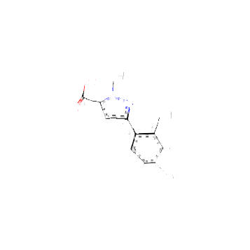 Cc1ccc(-c2cc(C(=O)O)n(C)n2)c(C)c1